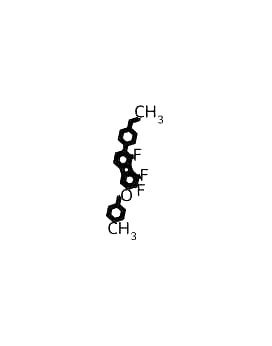 CCCC1CCC(c2ccc3c(c2F)-c2c-3cc(OCC3CCC(C)CC3)c(F)c2F)CC1